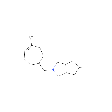 CCC1=CCCC(CN2CC3CC(C)CC3C2)CC1